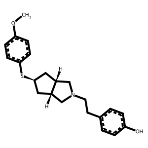 COc1ccc(S[C@H]2C[C@@H]3CN(CCc4ccc(O)cc4)C[C@@H]3C2)cc1